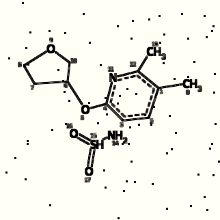 Cc1ccc(OC2CCOC2)nc1C.N[SH](=O)=O